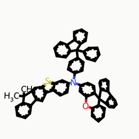 CC1(C)c2ccccc2-c2cc3c(cc21)sc1cc(N(c2ccc(C4(c5ccccc5)c5ccccc5-c5ccccc54)cc2)c2ccc4c(c2)Oc2ccccc2C42c4ccccc4-c4ccccc42)ccc13